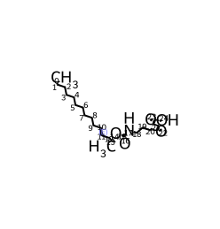 CCCCCCCCCC/C=C/C(C)OC(=O)NCCCS(=O)(=O)O